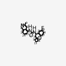 Cc1cc2c(NC(=O)NC3CC4(CCC4)Oc4ccc(F)cc43)cccc2cn1